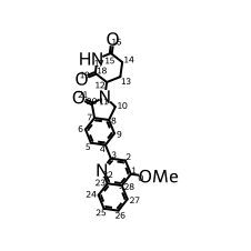 COc1cc(-c2ccc3c(c2)CN(C2CCC(=O)NC2=O)C3=O)nc2ccccc12